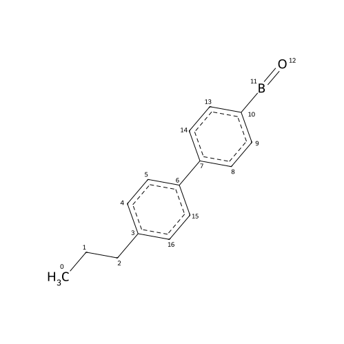 CCCc1ccc(-c2ccc(B=O)cc2)cc1